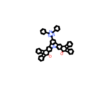 O=C1c2cc3c(cc2C2c4ccccc4C24c2ccccc2C14)c1cc(-c2nc(-c4ccccc4)nc(-c4ccccc4)n2)cc2c4cc5c(cc4n3c12)C(=O)C1c2ccccc2C12c1ccccc1C52